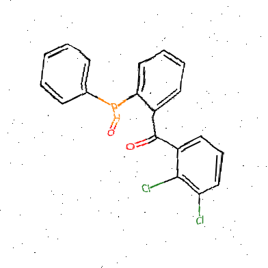 O=C(c1ccccc1[PH](=O)c1ccccc1)c1cccc(Cl)c1Cl